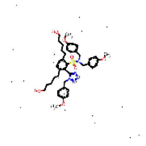 COc1ccc(CN(Cc2ccc(OC)cc2)S(=O)(=O)c2c(CCCCCO)ccc(CCCCCO)c2-c2nnnn2Cc2ccc(OC)cc2)cc1